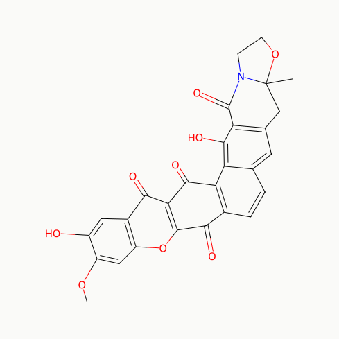 COc1cc2oc3c(c(=O)c2cc1O)C(=O)c1c(ccc2cc4c(c(O)c12)C(=O)N1CCOC1(C)C4)C3=O